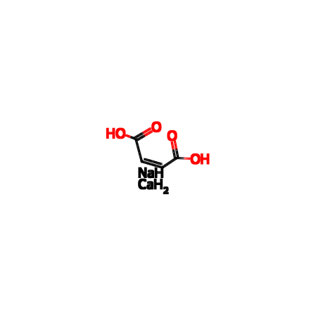 O=C(O)/C=C\C(=O)O.[CaH2].[NaH]